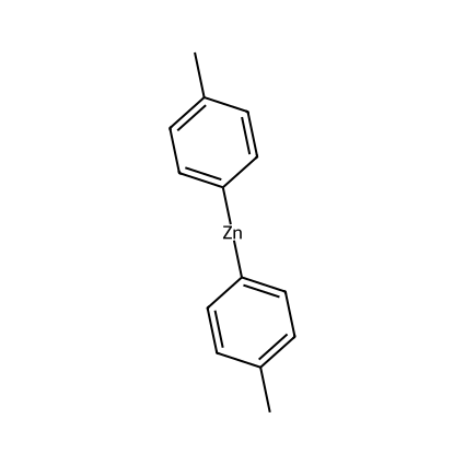 Cc1cc[c]([Zn][c]2ccc(C)cc2)cc1